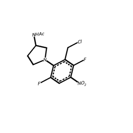 CC(=O)NC1CCN(c2c(F)cc([N+](=O)[O-])c(F)c2CCl)C1